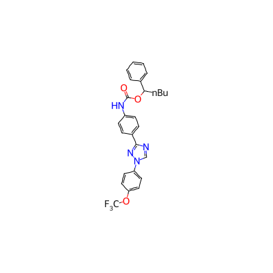 CCCCC(OC(=O)Nc1ccc(-c2ncn(-c3ccc(OC(F)(F)F)cc3)n2)cc1)c1ccccc1